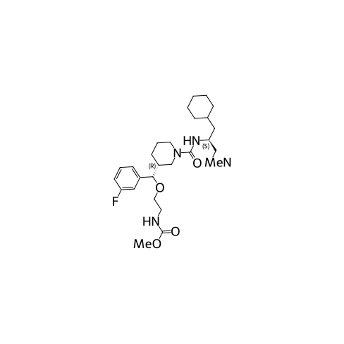 CNC[C@H](CC1CCCCC1)NC(=O)N1CCC[C@@H](C(OCCNC(=O)OC)c2cccc(F)c2)C1